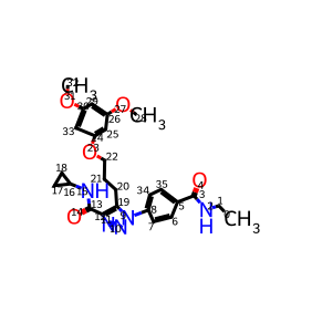 CCNC(=O)c1ccc(-n2nnc(C(=O)NC3CC3)c2CCCOc2cc(OC)cc(OC)c2)cc1